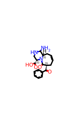 NC1NC[C@@H](C(=O)O)N2C(=O)[C@H](C(=O)c3ccccc3)CC=CC[C@@H]12